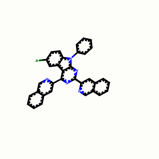 Brc1ccc2c(c1)c1c(-c3cc4ccccc4cn3)nc(-c3cc4ccccc4cn3)nc1n2-c1ccccc1